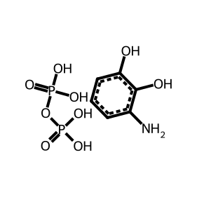 Nc1cccc(O)c1O.O=P(O)(O)OP(=O)(O)O